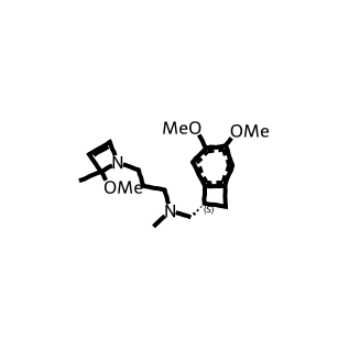 COc1cc2c(cc1OC)[C@@H](CN(C)CCCN1C=CC1(C)OC)C2